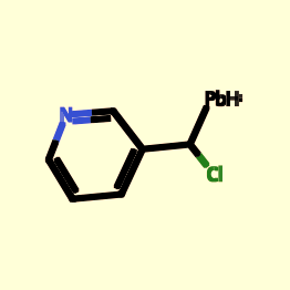 Cl[CH]([PbH])c1cccnc1